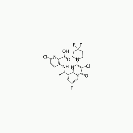 C[C@@H](Nc1ccc(Cl)nc1C(=O)O)c1cc(F)cn2c(=O)c(Cl)c(N3CCC(F)(F)CC3)nc12